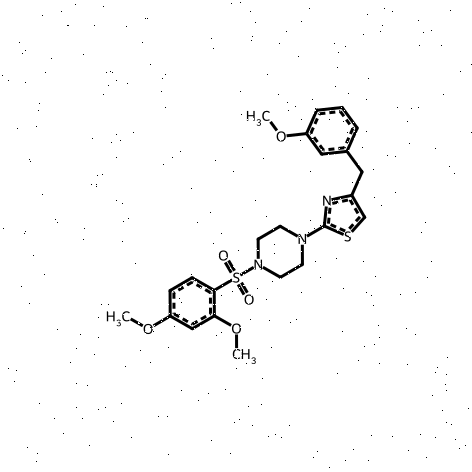 COc1cccc(Cc2csc(N3CCN(S(=O)(=O)c4ccc(OC)cc4OC)CC3)n2)c1